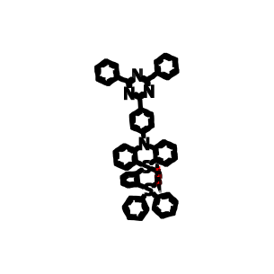 c1ccc(-c2nc(-c3ccccc3)nc(-c3ccc(N4c5ccccc5S5(c6ccccc64)c4ccccc4S(c4ccccc4)(c4ccccc4)c4ccccc45)cc3)n2)cc1